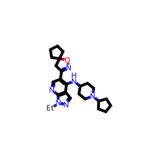 CCn1ncc2c(NC3CCN(C4CCCC4)CC3)c(C3=NOC4(CCCC4)C3)cnc21